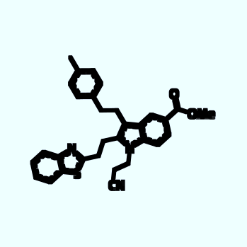 COC(=O)c1ccc2c(c1)c(CCc1ccc(C)cc1)c(CCc1nc3ccccc3s1)n2CCC#N